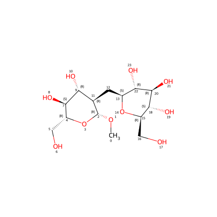 CO[C@@H]1O[C@H](CO)[C@@H](O)[C@H](O)[C@H]1C[C@@H]1O[C@H](CO)[C@@H](O)[C@H](O)[C@H]1O